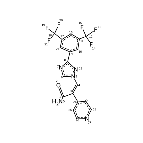 NC(=O)C(=Cn1cnc(-c2cc(C(F)(F)F)cc(C(F)(F)F)c2)n1)c1ccncc1